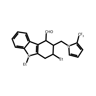 CCC1Cc2c(c3ccccc3n2CC)C(C=O)C1Cn1cccc1C(F)(F)F